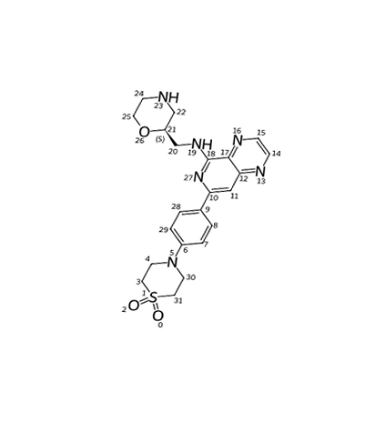 O=S1(=O)CCN(c2ccc(-c3cc4nccnc4c(NC[C@@H]4CNCCO4)n3)cc2)CC1